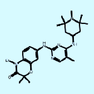 CCN1C(=O)C(C)(C)Oc2cc(Nc3ncc(C)c(NC4CC(C)(C)N(C)C(C)(C)C4)n3)ccc21